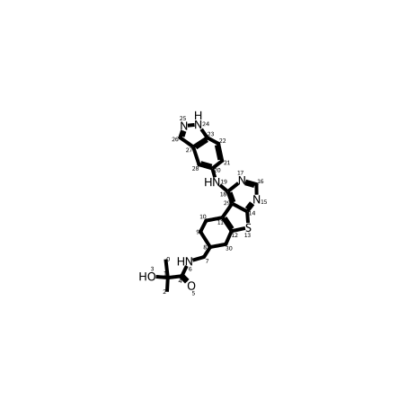 CC(C)(O)C(=O)NCC1CCc2c(sc3ncnc(Nc4ccc5[nH]ncc5c4)c23)C1